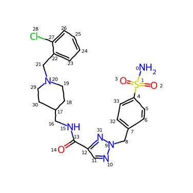 NS(=O)(=O)c1ccc(Cn2ncc(C(=O)NCC3CCN(Cc4ccccc4Cl)CC3)n2)cc1